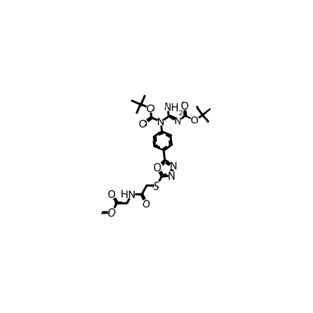 COC(=O)CNC(=O)CSc1nnc(-c2ccc(N(C(=O)OC(C)(C)C)C(N)=NC(=O)OC(C)(C)C)cc2)o1